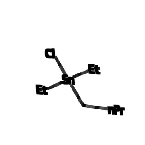 CCC[CH2][Sn]([Cl])([CH2]C)[CH2]C